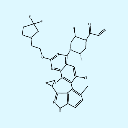 C=CC(=O)N1C[C@H](C)N(c2nc(OCCN3CCC(F)(F)C3)nc3c(F)c(-c4c(C)ccc5[nH]nc(C6CC6)c45)c(Cl)cc23)C[C@H]1C